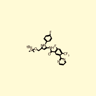 CC(C)(C)[Si](C)(C)OCc1cc(NC(=O)c2cc(-c3ncccn3)c(C(F)(F)F)cc2F)n(-c2ccc(F)cc2)n1